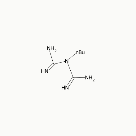 CCCCN(C(=N)N)C(=N)N